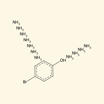 N.N.N.N.N.N.N.N.N.N.N.Oc1ccc(Br)cc1